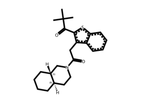 CC(C)(C)C(=O)c1sc2ccccc2c1CC(=O)N1CC[C@H]2CCCC[C@@H]2C1